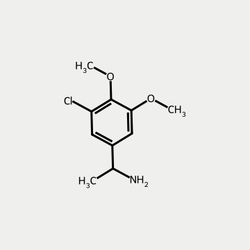 COc1cc(C(C)N)cc(Cl)c1OC